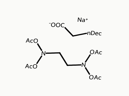 CC(=O)ON(CCN(OC(C)=O)OC(C)=O)OC(C)=O.CCCCCCCCCCCC(=O)[O-].[Na+]